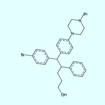 CC(C)N1CCN(c2ccc(C(c3ccc(Br)cc3)C(CCCO)c3ccccc3)cc2)CC1